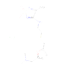 CNC1=NS(=O)(=O)N=C1NCCSCc1ccc(CN(C)C)o1.Cl